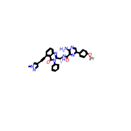 CC(C)Oc1ccc(-c2cnc(N)c(C(=O)N[C@H](C)c3nc4cccc(C#Cc5cnn(C)c5)c4c(=O)n3-c3ccccc3)n2)cc1